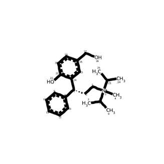 CC(C)[N+](C)(CC[C@H](c1ccccc1)c1cc(CO)ccc1O)C(C)C